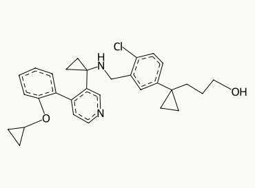 OCCCC1(c2ccc(Cl)c(CNC3(c4cnccc4-c4ccccc4OC4CC4)CC3)c2)CC1